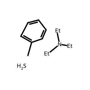 CCN(CC)CC.Cc1ccccc1.S